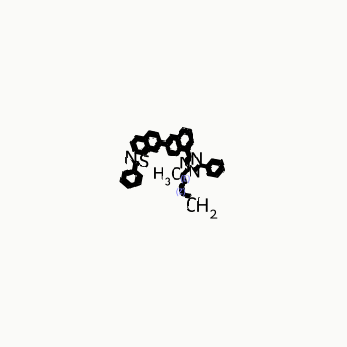 C=C/C=C\C=C(/C)c1nc(C2=CCCc3cc(-c4ccc5ccc6nc(-c7ccccc7)sc6c5c4)ccc32)nc(-c2ccccc2)n1